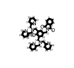 O=C1c2ccccc2C(=O)N1Cc1cc(CN(Cc2ccccn2)Cc2ccccn2)c(O)c(CN(Cc2ccccn2)Cc2ccccn2)c1